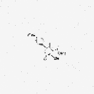 COc1ccc(C(CC(=O)OC(C)(C)C)NCC(C)OC)cn1